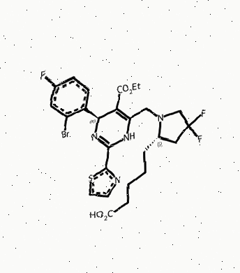 CCOC(=O)C1=C(CN2CC(F)(F)C[C@@H]2CCCCC(=O)O)NC(c2nccs2)=N[C@H]1c1ccc(F)cc1Br